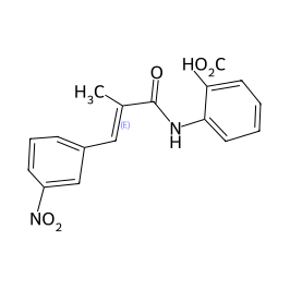 C/C(=C\c1cccc([N+](=O)[O-])c1)C(=O)Nc1ccccc1C(=O)O